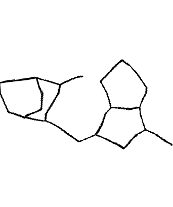 CC1CC(CC2C3CCC(C3)C2C)C2CCCC12